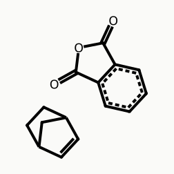 C1=CC2CCC1C2.O=C1OC(=O)c2ccccc21